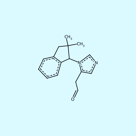 CC1(C)Cc2ccccc2C1n1cncc1CC=O